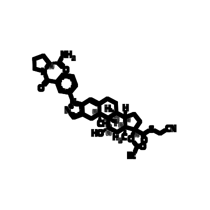 CCC(=O)O[C@]1(C(=O)SCC#N)CC[C@H]2[C@@H]3CCC4=Cc5c(cnn5-c5cccc(C(=O)N6CCC[C@@H]6C(N)=O)c5)C[C@]4(C)[C@@]3(F)[C@@H](O)C[C@@]21C